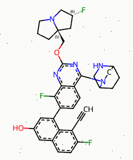 C#Cc1c(F)ccc2cc(O)cc(-c3ccc4c(N5CC6CCC5CN6)nc(OC[C@@]56CCCN5C[C@H](F)C6)nc4c3F)c12